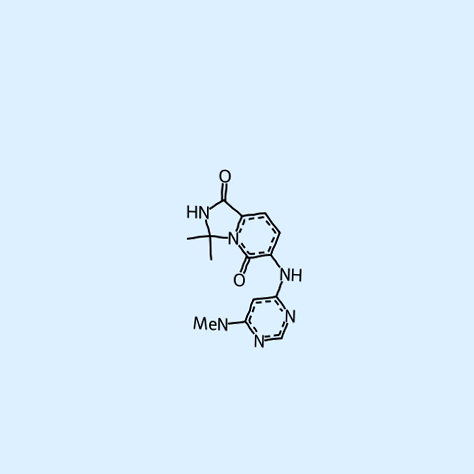 CNc1cc(Nc2ccc3n(c2=O)C(C)(C)NC3=O)ncn1